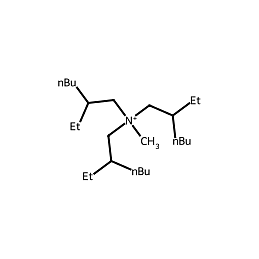 CCCCC(CC)C[N+](C)(CC(CC)CCCC)CC(CC)CCCC